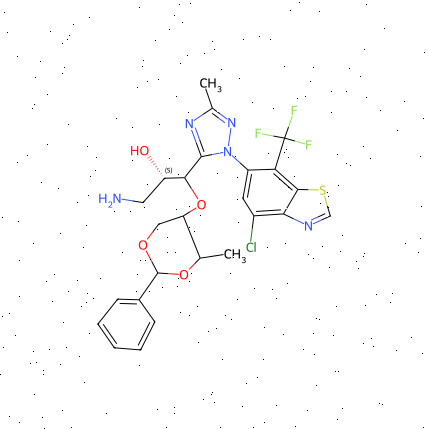 Cc1nc(C(OC2COC(c3ccccc3)OC2C)[C@@H](O)CN)n(-c2cc(Cl)c3ncsc3c2C(F)(F)F)n1